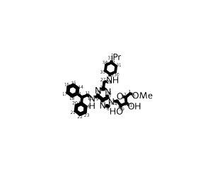 COCC1OC(n2cnc3c(NCC(c4ccccc4)c4ccccc4)nc(CNC4CCC(C(C)C)CC4)nc32)C(O)C1O